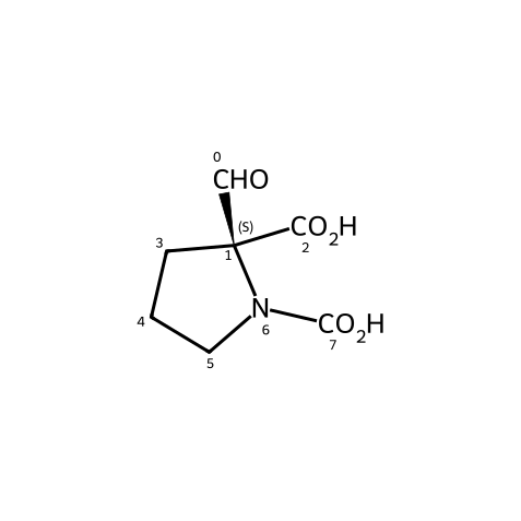 O=C[C@]1(C(=O)O)CCCN1C(=O)O